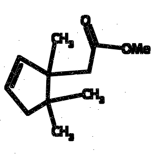 COC(=O)CC1(C)C=CCC1(C)C